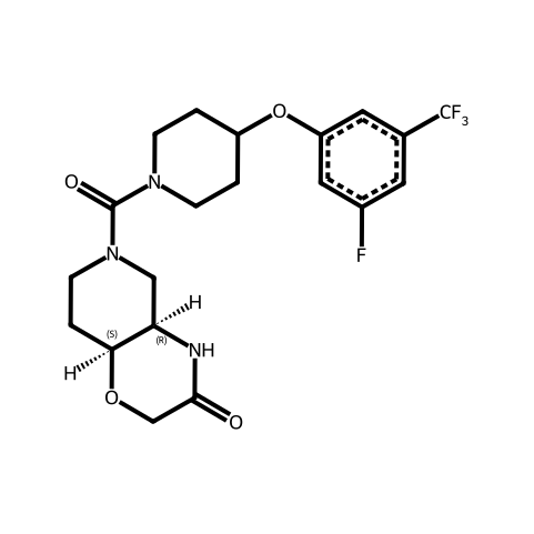 O=C1CO[C@H]2CCN(C(=O)N3CCC(Oc4cc(F)cc(C(F)(F)F)c4)CC3)C[C@H]2N1